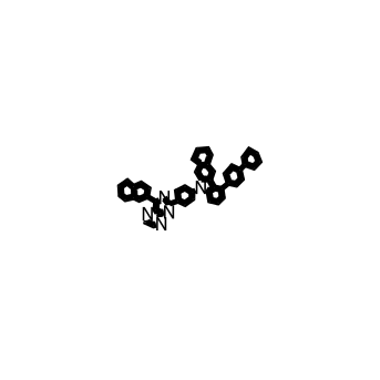 c1ccc(-c2ccc(-c3cccc4c3c3cc5ccccc5cc3n4-c3ccc(-c4nc(-c5ccc6ccccc6c5)c5nccnc5n4)cc3)cc2)cc1